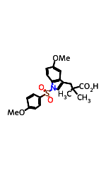 COc1ccc(S(=O)(=O)n2cc(CC(C)(C)C(=O)O)c3cc(OC)ccc32)cc1